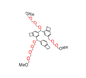 COCOCOCOCOC(c1ccc2c(c1)CC2)c1cc(C(OCOCOCOC)c2cc(COCOCOC)cc3c2CC3)cc2c1CC2